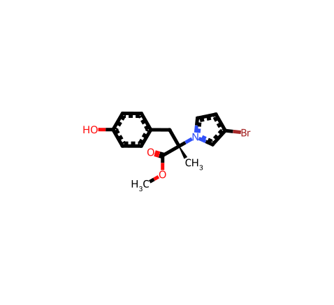 COC(=O)[C@](C)(Cc1ccc(O)cc1)n1ccc(Br)c1